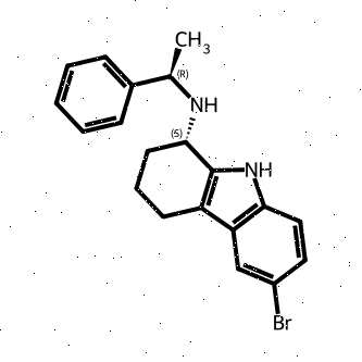 C[C@@H](N[C@H]1CCCc2c1[nH]c1ccc(Br)cc21)c1ccccc1